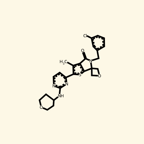 Cc1c(-c2ccnc(NC3CCOCC3)n2)sc2c1C(=O)N(Cc1cccc(Cl)c1)C21COC1